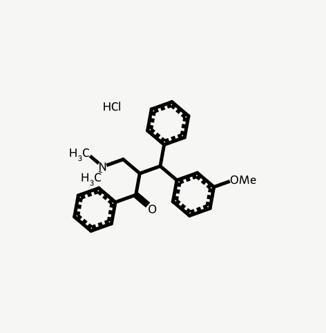 COc1cccc(C(c2ccccc2)C(CN(C)C)C(=O)c2ccccc2)c1.Cl